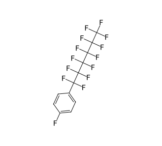 Fc1ccc(C(F)(F)C(F)(F)C(F)(F)C(F)(F)C(F)(F)C(F)(F)F)cc1